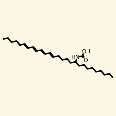 CCCCC/C=C/C=C/C=C/C=C/CCCCC(CCCCCCCCC)NC(=O)O